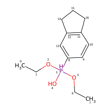 CCO[PH](O)(OCC)c1ccc2c(c1)CCC2